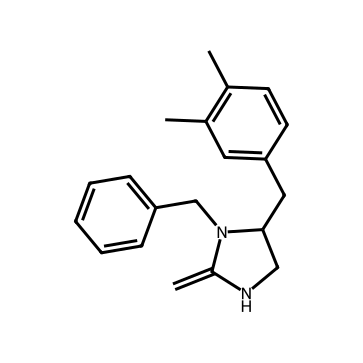 C=C1NCC(Cc2ccc(C)c(C)c2)N1Cc1ccccc1